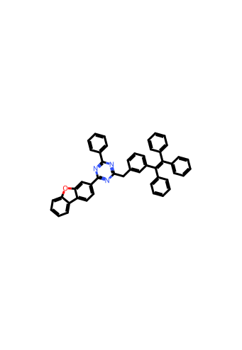 c1ccc(C(=C(c2ccccc2)c2cccc(Cc3nc(-c4ccccc4)nc(-c4ccc5c(c4)oc4ccccc45)n3)c2)c2ccccc2)cc1